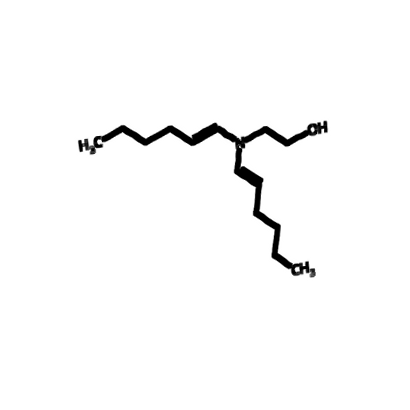 CCCCC=CN(C=CCCCC)CCO